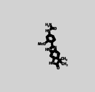 COc1cc(NC(N)=O)ccc1-c1nc2cc3c(cc2[nH]1)NC(=O)C3(C)C